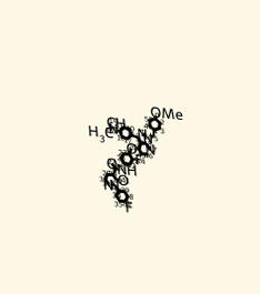 COc1ccc(Cn2nc(-c3ccc(N(C)C)cc3)c3c(Oc4ccc(NC(=O)c5ccnn(-c6ccc(F)cc6)c5=O)cc4F)ccnc32)cc1